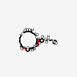 CO[C@H]1C[C@@H]2CC[C@@H](C)[C@@](O)(O2)C(=O)C(=O)N2CCCC3[C@H]2C(=O)O[C@@H](CC(=O)[C@H](C)/C=C(\C)[C@@H](O)[C@@H](OC)C(=O)[C@H](C)C[C@H](C)/C=C/C=C/C=C/1C)[C@H]3C[C@@H]1CC[C@@H](OC(=O)NCCN2CCOCC2)[C@H](OC)C1